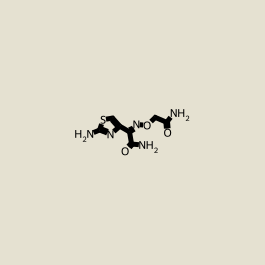 NC(=O)CON=C(C(N)=O)c1csc(N)n1